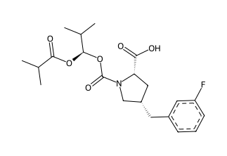 CC(C)C(=O)O[C@H](OC(=O)N1C[C@@H](Cc2cccc(F)c2)C[C@H]1C(=O)O)C(C)C